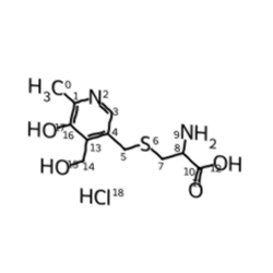 Cc1ncc(CSCC(N)C(=O)O)c(CO)c1O.Cl